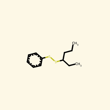 CCCC(CC)SSc1ccccc1